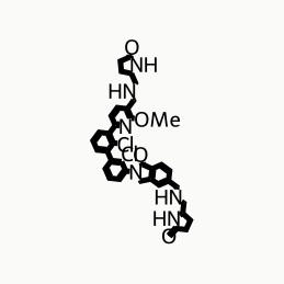 COc1nc(-c2cccc(-c3cccc(N4Cc5cc(CNCC6CCC(=O)N6)ccc5C4=O)c3Cl)c2Cl)ccc1CNCC1CCC(=O)N1